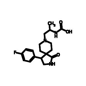 CC(CN1CCC2(CC1)C(=O)NCC2c1ccc(F)cc1)NC(=O)O